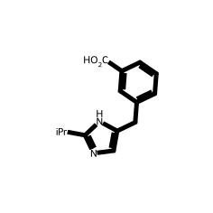 CC(C)c1ncc(Cc2cccc(C(=O)O)c2)[nH]1